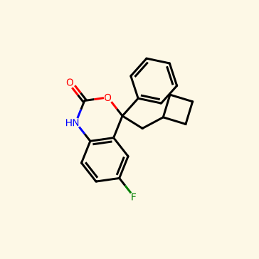 O=C1Nc2ccc(F)cc2C(CC2CCC2)(c2ccccc2)O1